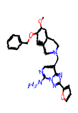 COc1cc2c(cc1OCc1ccccc1)CN(Cc1cnc(N)n3nc(-c4ccco4)nc13)CC2